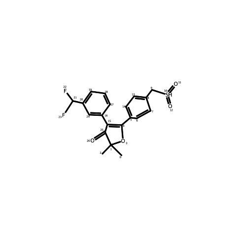 CC1(C)OC(c2ccc(C[SH](=O)=O)cc2)=C(c2cccc(C(F)F)c2)C1=O